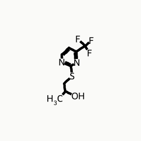 CC(O)CSc1nccc(C(F)(F)F)n1